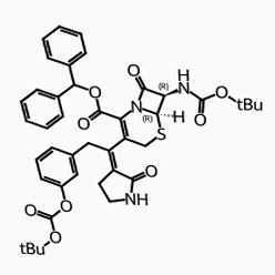 CC(C)(C)OC(=O)N[C@@H]1C(=O)N2C(C(=O)OC(c3ccccc3)c3ccccc3)=C(C(Cc3cccc(OC(=O)OC(C)(C)C)c3)=C3CCNC3=O)CS[C@H]12